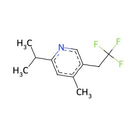 Cc1cc(C(C)C)ncc1CC(F)(F)F